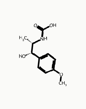 COc1ccc([C@H](O)[C@H](C)NC(=O)O)cc1